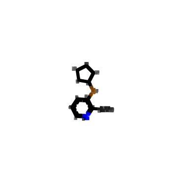 CNc1ncccc1SC1CCCC1